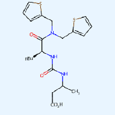 CCCC[C@H](NC(=O)NC(C)CC(=O)O)C(=O)N(Cc1cccs1)Cc1cccs1